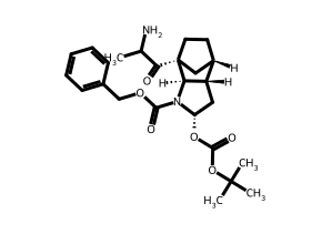 CC(N)C(=O)[C@]12CC[C@@H](C1)[C@@H]1C[C@H](OC(=O)OC(C)(C)C)N(C(=O)OCc3ccccc3)[C@H]12